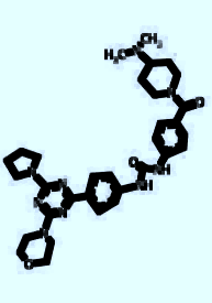 CN(C)C1CCN(C(=O)c2ccc(NC(=O)Nc3ccc(-c4nc(N5CCCC5)nc(N5CCOCC5)n4)cc3)cc2)CC1